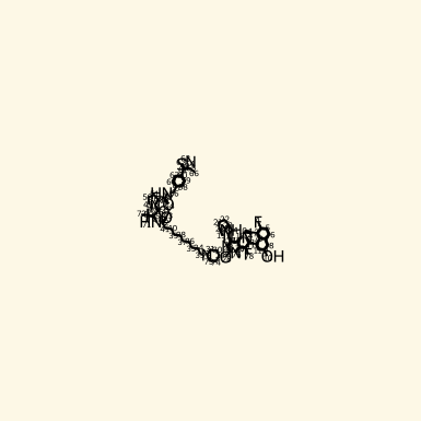 C#Cc1c(F)ccc2cc(O)cc(-c3ncc4c(N5CC6CCC(C5)N6)nc(OC5CCN(CCCCCCCCCC(=O)NC(C(=O)N6CCC[C@@H]6C(=O)NCc6ccc(-c7scnc7C)cc6)C(C)(C)C)CC5)nc4c3F)c12